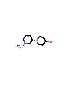 O=C(O)N1CCC[C@H](N2CCC(O)CC2)C1